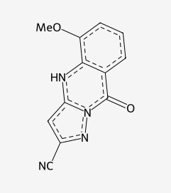 COc1cccc2c(=O)n3nc(C#N)cc3[nH]c12